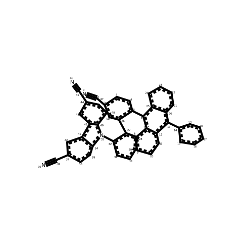 N#Cc1ccc(-c2c3ccccc3c(-c3ccccc3)c3ccccc23)c(-c2ccccc2-n2c3ccc(C#N)cc3c3cc(C#N)ccc32)c1